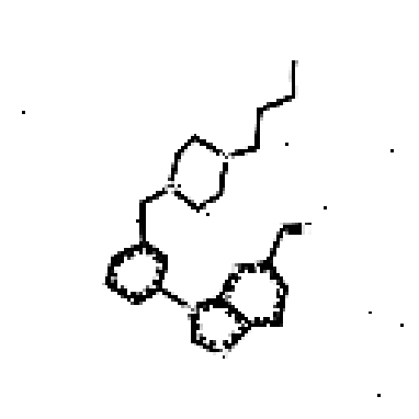 CCCCN1CCN(Cc2cccc(-n3cnc4ccc(C=O)nc43)c2)CC1